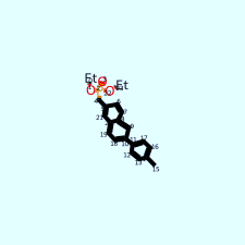 CCOP(=O)(Cc1ccc2cc(-c3ccc(C)cc3)ccc2c1)OCC